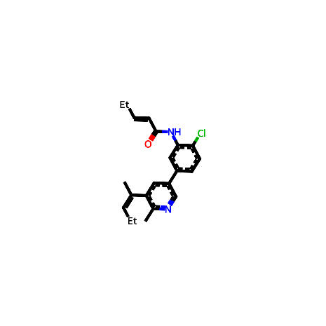 CC/C=C(/C)c1cc(-c2ccc(Cl)c(NC(=O)/C=C/CC)c2)cnc1C